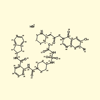 Br.O=C(C[C@@H]1NCCC[C@H]1OC(=O)NS(=O)(=O)NC1CCN(C(=O)Nc2nccnc2C(=O)NC2Cc3ccccc3C2)CC1)Cn1cnc2cc(Br)c(Cl)cc2c1=O